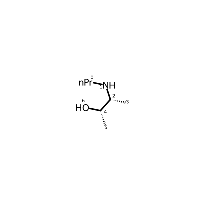 CCCN[C@H](C)[C@H](C)O